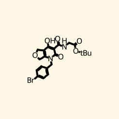 CC(C)(C)OC(=O)CNC(=O)c1c(O)c2c(n(Cc3ccc(Br)cc3)c1=O)COC2